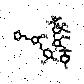 C=C1C[C@H](CCC2OCCO2)O[C@H]1CC[C@H]1C[C@H](C)C(=C)[C@@H](C[C@@H]2O[C@H](CC(CO[Si](C)(C)C(C)(C)C)O[Si](C)(C)C(C)(C)C)[C@@H](OC)[C@H]2CS(=O)(=O)c2ccc(CC)cc2)O1